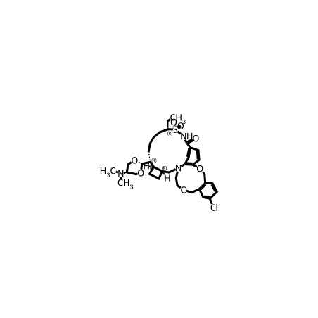 CC[C@@H]1CCCC[C@@H]([C@H]2OC[C@H](N(C)C)CO2)[C@@H]2CC[C@H]2CN2CCCCc3cc(Cl)ccc3COc3ccc(cc32)C(=O)NS1(=O)=O